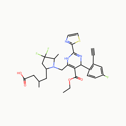 C#Cc1cc(F)ccc1C1N=C(c2nccs2)NC(CN2C(CC(C)CC(=O)O)CC(F)(F)C2C)=C1C(=O)OCC